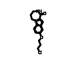 O=C1NCCCn2c1cc1cc(OCCCCl)ccc12